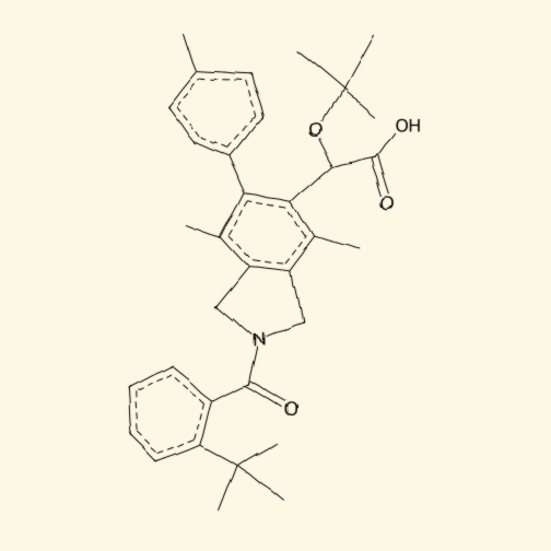 Cc1ccc(-c2c(C)c3c(c(C)c2C(OC(C)(C)C)C(=O)O)CN(C(=O)c2ccccc2C(C)(C)C)C3)cc1